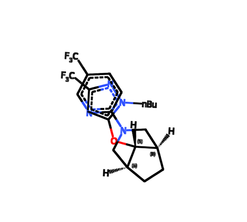 CCCCn1nc(C(F)(F)F)cc1O[C@@H]1[C@@H]2CC[C@H]1CN(c1ccc(C(F)(F)F)cn1)C2